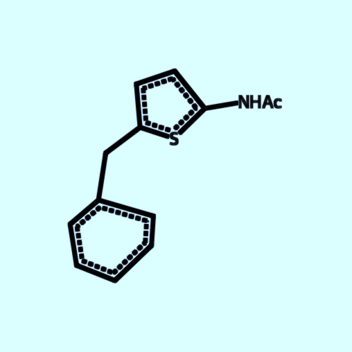 CC(=O)Nc1ccc(Cc2ccccc2)s1